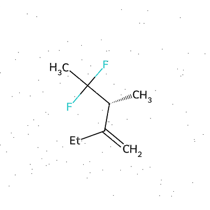 C=C(CC)[C@@H](C)C(C)(F)F